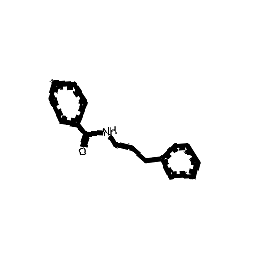 O=C(NCCCc1ccccc1)c1c[c][c]cc1